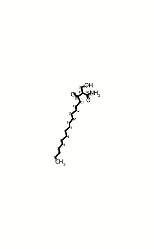 CCCCCCCCCCCCCCCC(=O)C(CO)C(N)=O